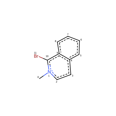 C[n+]1ccc2ccccc2c1Br